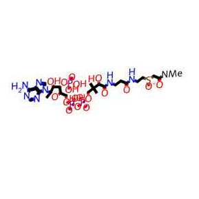 CNC(=O)C[S+]([O-])CCNC(=O)CCNC(=O)C(O)C(C)(C)COP(=O)(O)OP(=O)(O)OCC1OC(C)(n2cnc3c(N)ncnc32)C(O)C1OP(=O)(O)O